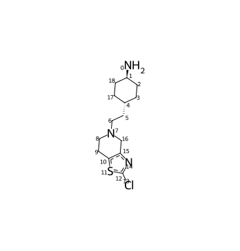 N[C@H]1CC[C@H](CCN2CCc3sc(Cl)nc3C2)CC1